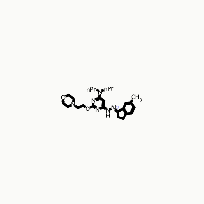 CCCN(CCC)c1cc(N/N=C2\CCc3ccc(C)cc32)nc(OCCN2CCOCC2)n1